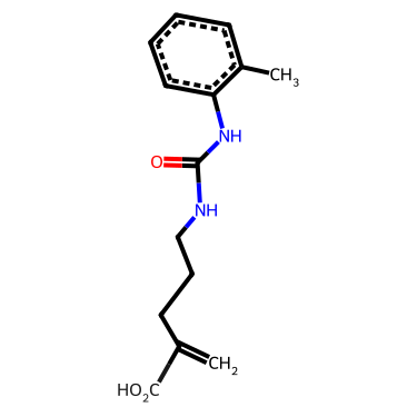 C=C(CCCNC(=O)Nc1ccccc1C)C(=O)O